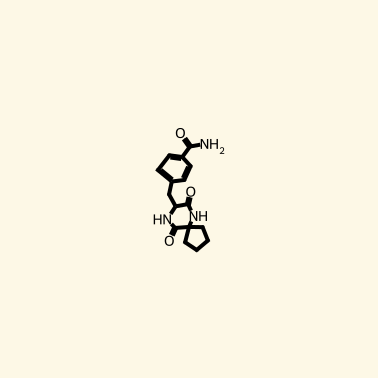 NC(=O)c1ccc(CC2NC(=O)C3(CCCC3)NC2=O)cc1